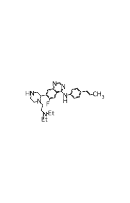 C/C=C/c1ccc(Nc2ncnc3cc(C4CNCCN4CCN(CC)CC)c(F)cc23)cc1